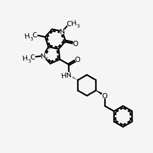 Cc1cn(C)c(=O)c2c(C(=O)N[C@H]3CC[C@H](OCc4ccccc4)CC3)cn(C)c12